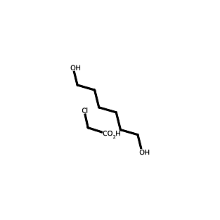 O=C(O)CCl.OCCCCCCO